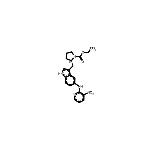 O=C(OCC(Cl)(Cl)Cl)N1CCC[C@@H]1Cc1c[nH]c2ccc(Nc3ncccc3[N+](=O)[O-])cc12